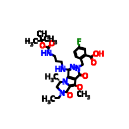 CCN1C[C@H](C)n2c(c(OC)c3c(=O)n(Cc4ccc(F)cc4C(=O)O)nc(NCCCNC(=O)OC(C)(C)C)c32)C1=O